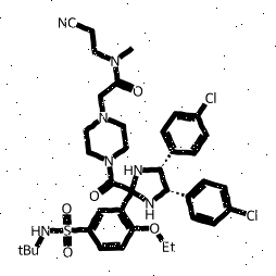 CCOc1ccc(S(=O)(=O)NC(C)(C)C)cc1C1(C(=O)N2CCN(CC(=O)N(C)CCC#N)CC2)N[C@H](c2ccc(Cl)cc2)[C@H](c2ccc(Cl)cc2)N1